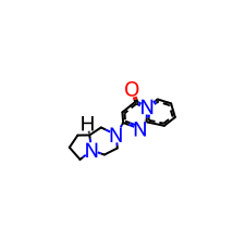 O=c1cc(N2CCN3CCC[C@H]3C2)nc2ccccn12